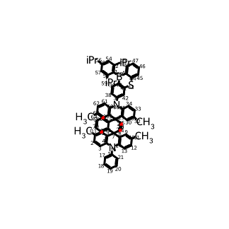 Cc1ccc2c(c1)C1(c3cc(C)ccc3N2c2ccccc2)c2ccccc2C2(c3cc(C)ccc3N(c3ccc4c(c3)Sc3ccccc3B4c3c(C(C)C)cc(C(C)C)cc3C(C)C)c3ccc(C)cc32)c2ccccc21